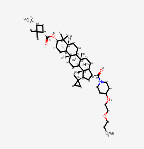 COCCOCCOC1CCN(C(=O)[C@@H]2C[C@@H](C3(C)CC3)[C@H]3C2CC[C@]2(C)[C@@H]3CC[C@@H]3[C@@]4(C)CC[C@H](OC(=O)[C@H]5C[C@@H](C(=O)O)C5(C)C)C(C)(C)[C@@H]4CC[C@]32C)CC1